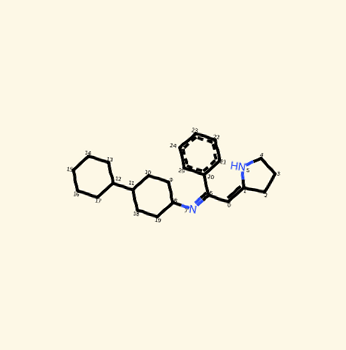 C(=C1\CCCN1)/C(=N/C1CCC(C2CCCCC2)CC1)c1ccccc1